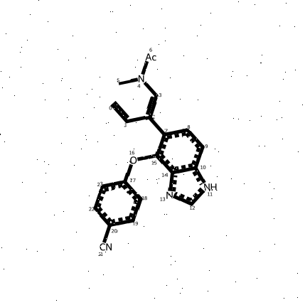 C=C/C(=C\N(C)C(C)=O)c1ccc2[nH]cnc2c1Oc1ccc(C#N)cc1